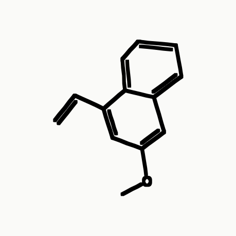 C=Cc1cc(OC)cc2ccccc12